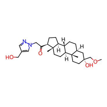 COC[C@@]1(O)CC[C@@]2(C)[C@@H](CC[C@@H]3[C@@H]2CC[C@]2(C)[C@@H](C(=O)Cn4cc(CO)cn4)CC[C@@H]32)C1